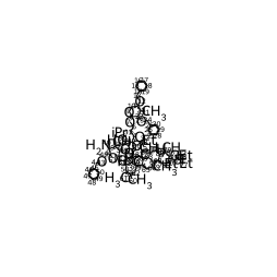 CC[C@@]1(C)OC([C@@H](CO[C@@H]2OC[C@@H](OCc3ccccc3)C(C)C2OCc2ccccc2)C(C)C)C([C@@H](O)OC2C(C)[C@@H](N)[C@@H](COCc3ccccc3)O[C@H]2OC(=O)C23CCC(C)(C)CC2C2=CCC4C5(C)CC[C@H](O[Si](CC)(CC)CC)C(C)[C@@H]5CC[C@]4(C)C2(C)CC3)O1